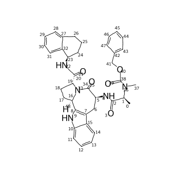 C[C@@H](C(=O)N[C@H]1Cc2c([nH]c3ccccc23)[C@H]2CC[C@H](C(=O)N[C@@H]3CCCc4ccccc43)N2C1=O)N(C)C(=O)OCc1ccccc1